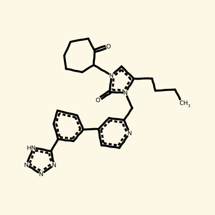 CCCCc1cn(C2CCCCCC2=O)c(=O)n1Cc1cc(-c2cccc(-c3nnn[nH]3)c2)ccn1